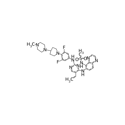 C=Cc1cnc(Nc2cc(F)c(N3CCC(N4CCN(C)CC4)CC3)c(F)c2)nc1Nc1ccc2nccnc2c1NS(C)(=O)=O